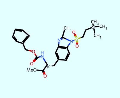 COC(=O)[C@@H](Cc1ccc2c(c1)nc(C)n2S(=O)(=O)CC[Si](C)(C)C)NC(=O)OCc1ccccc1